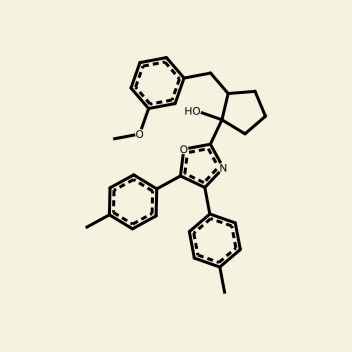 COc1cccc(CC2CCCC2(O)c2nc(-c3ccc(C)cc3)c(-c3ccc(C)cc3)o2)c1